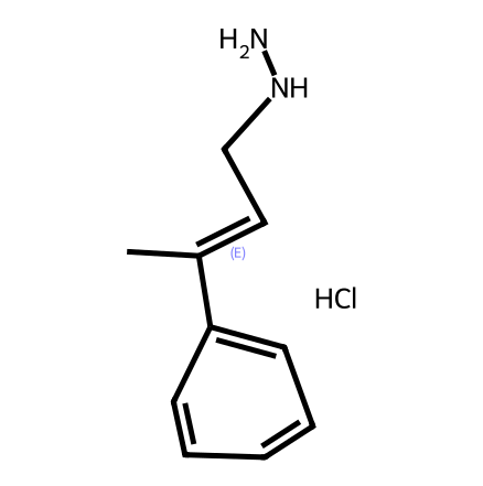 C/C(=C\CNN)c1ccccc1.Cl